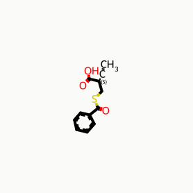 CC[C@H](CSC(=O)c1ccccc1)C(=O)O